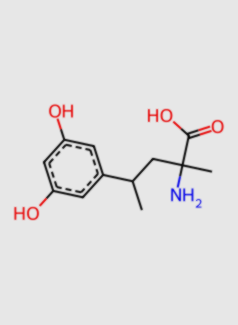 CC(CC(C)(N)C(=O)O)c1cc(O)cc(O)c1